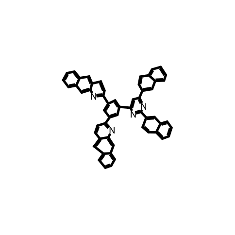 c1ccc2cc(-c3cc(-c4cc(-c5ccc6cc7ccccc7cc6n5)cc(-c5ccc6cc7ccccc7cc6n5)c4)nc(-c4ccc5ccccc5c4)n3)ccc2c1